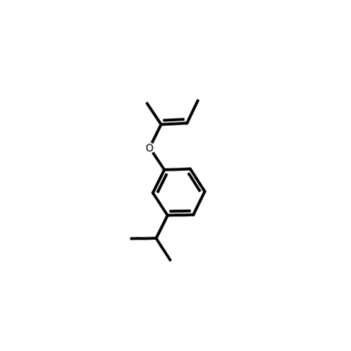 CC=C(C)Oc1cccc(C(C)C)c1